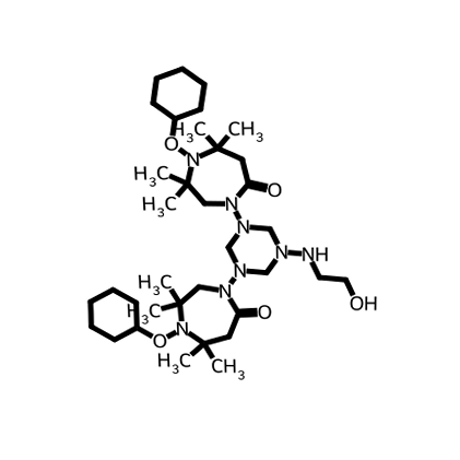 CC1(C)CC(=O)N(N2CN(NCCO)CN(N3CC(C)(C)N(OC4CCCCC4)C(C)(C)CC3=O)C2)CC(C)(C)N1OC1CCCCC1